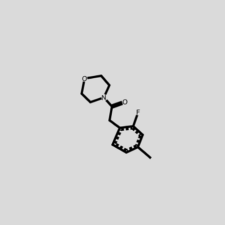 Cc1ccc(CC(=O)N2CCOCC2)c(F)c1